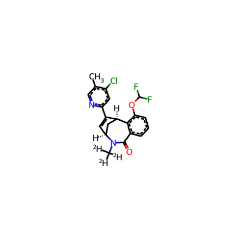 [2H]C([2H])([2H])N1C(=O)c2cccc(OC(F)F)c2[C@H]2C[C@@H]1C=C2c1cc(Cl)c(C)cn1